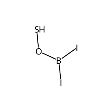 SOB(I)I